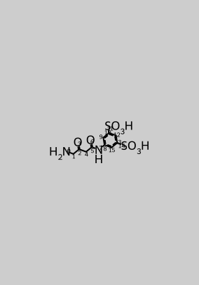 NCC(=O)CC(=O)Nc1cc(S(=O)(=O)O)cc(S(=O)(=O)O)c1